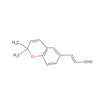 CC1(C)C=Cc2cc(C=CC=O)ccc2O1